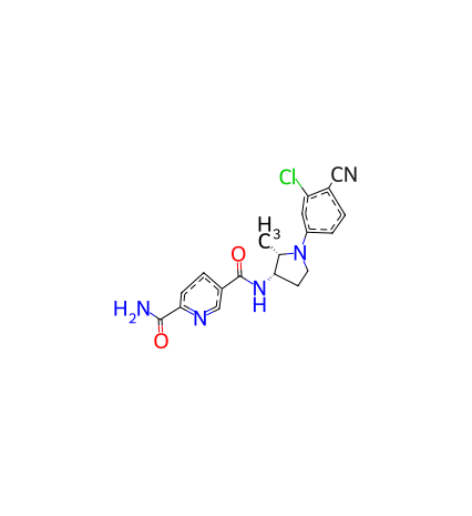 C[C@H]1[C@@H](NC(=O)c2ccc(C(N)=O)nc2)CCN1c1ccc(C#N)c(Cl)c1